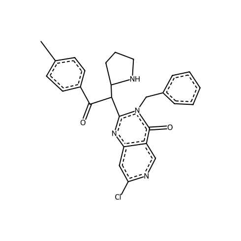 Cc1ccc(C(=O)C(c2nc3cc(Cl)ncc3c(=O)n2Cc2ccccc2)C2CCCN2)cc1